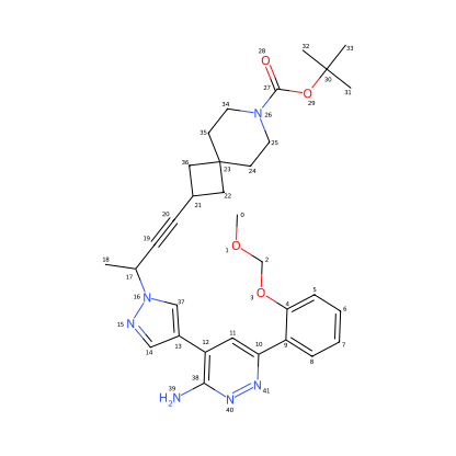 COCOc1ccccc1-c1cc(-c2cnn(C(C)C#CC3CC4(CCN(C(=O)OC(C)(C)C)CC4)C3)c2)c(N)nn1